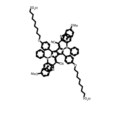 COc1ccc2sc(/C(C#N)=c3/c4c(-c5ccc(OCCCCCCCCS(=O)(=O)O)cc5)n(B(c5ccccc5)c5ccccc5)/c(=C(/C#N)c5nc6cc(OC)ccc6s5)c4c(-c4ccc(OCCCCCCCCS(=O)(=O)O)cc4)n3B(c3ccccc3)c3ccccc3)nc2c1